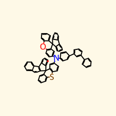 c1ccc(-c2cccc(-c3ccc(N(c4ccc5c(c4)C4(c6ccccc6O5)c5ccccc5-c5ccccc54)c4ccc5c(c4)C4(c6ccccc6S5)c5ccccc5-c5c4ccc4ccccc54)cc3)c2)cc1